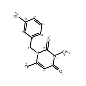 Cn1c(=O)cc(Cl)n(Cc2cccc(C#N)c2)c1=O